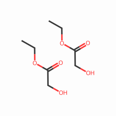 CCOC(=O)CO.CCOC(=O)CO